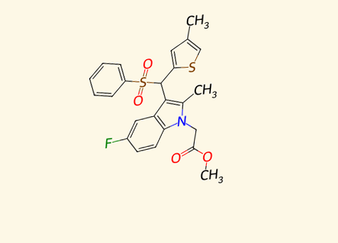 COC(=O)Cn1c(C)c(C(c2cc(C)cs2)S(=O)(=O)c2ccccc2)c2cc(F)ccc21